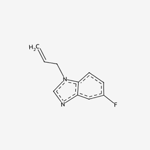 C=CCn1cnc2cc(F)ccc21